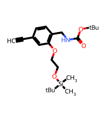 C#Cc1ccc(CNC(=O)OC(C)(C)C)c(OCCO[Si](C)(C)C(C)(C)C)c1